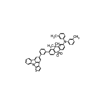 Cc1cccc(N(c2cccc(C)c2)c2ccc3c(c2)C(C)(C)c2cc(-c4cccc(-c5cc6c7ccccc7n7c8sccc8c(c5)c67)c4)ccc2S3(=O)=O)c1